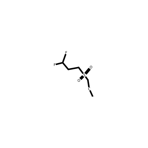 [CH2]CCS(=O)(=O)CCC(F)F